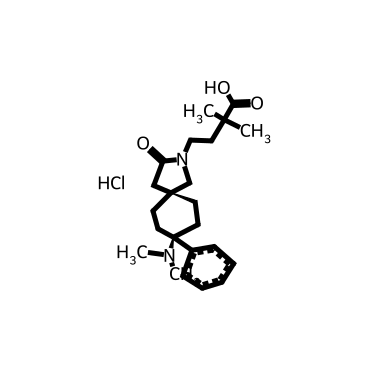 CN(C)[C@]1(c2ccccc2)CC[C@@]2(CC1)CC(=O)N(CCC(C)(C)C(=O)O)C2.Cl